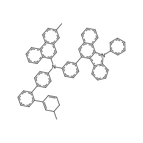 Cc1ccc2c(c1)cc(N(c1ccc(-c3ccccc3C3=CC(C)CC=C3)cc1)c1cccc(-c3cc4ccccc4c4c3c3ccccc3n4-c3ccccc3)c1)c1ccccc12